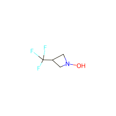 ON1CC(C(F)(F)F)C1